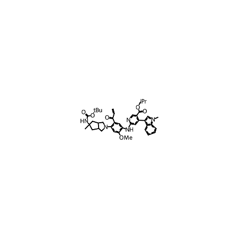 C=CC(=O)c1cc(Nc2cc(-c3cn(C)c4ccccc34)c(C(=O)OC(C)C)cn2)c(OC)cc1N1CC2CC(C)(NC(=O)OC(C)(C)C)CC2C1